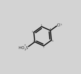 O=S(=O)(O)c1[c]cc(Cl)[c]c1